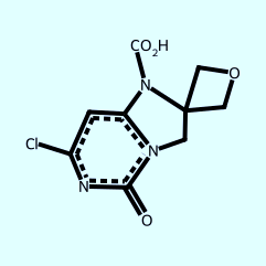 O=C(O)N1c2cc(Cl)nc(=O)n2CC12COC2